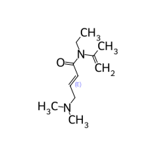 C=C(C)N(CC)C(=O)/C=C/CN(C)C